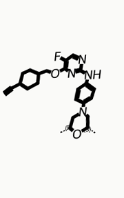 C#CC1CCC(COc2nc(Nc3ccc(N4C[C@@H](C)O[C@@H](C)C4)cc3)ncc2F)CC1